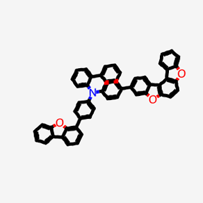 c1ccc(-c2ccccc2N(c2ccc(-c3ccc4c(c3)oc3ccc5oc6ccccc6c5c34)cc2)c2ccc(-c3cccc4c3oc3ccccc34)cc2)cc1